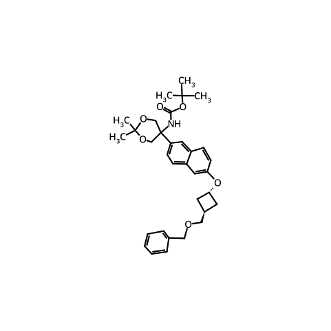 CC(C)(C)OC(=O)NC1(c2ccc3cc(O[C@H]4C[C@H](COCc5ccccc5)C4)ccc3c2)COC(C)(C)OC1